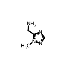 Cn1ncnc1CN